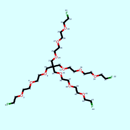 FCCOCCOCCOCC(COCCOCCOCCF)(COCCOCCOCCF)COCCOCCOCCF